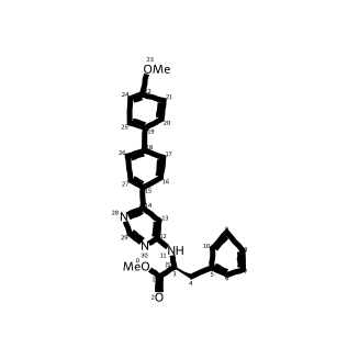 COC(=O)[C@H](Cc1ccccc1)Nc1cc(-c2ccc(-c3ccc(OC)cc3)cc2)ncn1